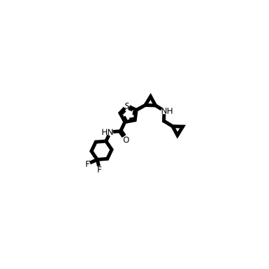 O=C(NC1CCC(F)(F)CC1)c1csc(C2CC2NCC2CC2)c1